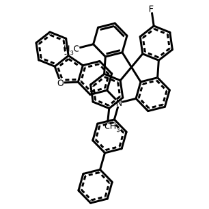 Cc1ccc2c(c1)C1(C3=C2C(C)C=C=C3)c2cc(F)ccc2-c2cccc(N(c3ccc(-c4ccccc4)cc3)c3ccc4c(c3)oc3ccccc34)c21